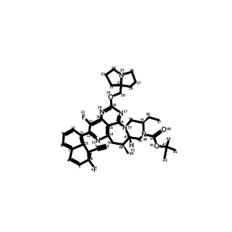 C#Cc1c(F)ccc2cccc(-c3nc4c5c(nc(OCC67CCCN6CCC7)nc5c3F)N3C[C@@H](CC)N(C(=O)OC(C)(C)C)C[C@@H]3[C@@H](C)C4)c12